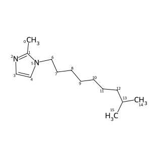 Cc1nccn1CCCCCCCC(C)C